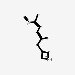 C=N/C(C)=C\C=C(/C)CC1CNC1